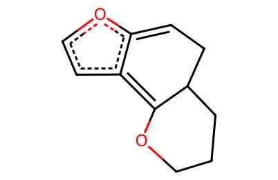 C1=c2occc2=C2OCCCC2C1